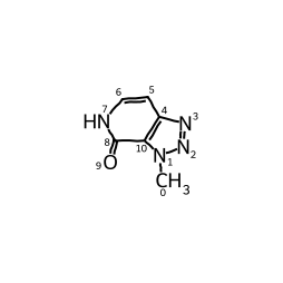 Cn1nnc2cc[nH]c(=O)c21